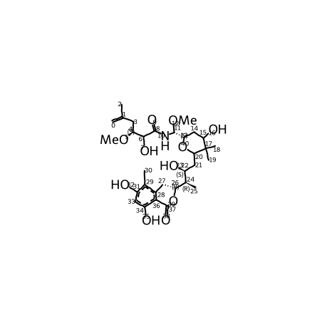 C=C(C)C[C@H](OC)C(O)C(=O)NC(OC)[C@@H]1CC(O)C(C)(C)C(C[C@H](O)[C@@H](C)[C@H]2Cc3c(C)c(O)cc(O)c3C(=O)O2)O1